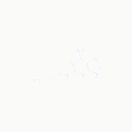 NCCCNc1nc(N)c2nc[nH]c2n1